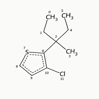 CCC(C)(CC)c1sccc1Cl